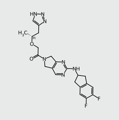 C[C@H](Cc1c[nH]nn1)OCC(=O)N1Cc2cnc(NC3Cc4cc(F)c(F)cc4C3)nc2C1